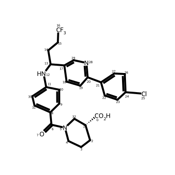 O=C(O)[C@@H]1CCCN(C(=O)c2ccc(NC(CCC(F)(F)F)c3ccc(-c4ccc(Cl)cc4)nc3)cc2)C1